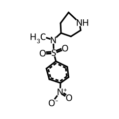 CN(C1CCNCC1)S(=O)(=O)c1ccc([N+](=O)[O-])cc1